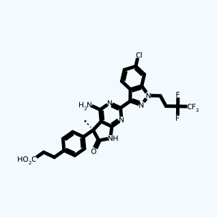 C[C@@]1(c2ccc(CCC(=O)O)cc2)C(=O)Nc2nc(-c3nn(CCC(F)(F)C(F)(F)F)c4cc(Cl)ccc34)nc(N)c21